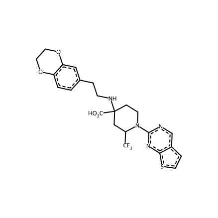 O=C(O)C1(NCCc2ccc3c(c2)OCCO3)CCN(c2ncc3ccsc3n2)C(C(F)(F)F)C1